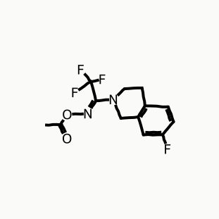 CC(=O)ON=C(N1CCc2ccc(F)cc2C1)C(F)(F)F